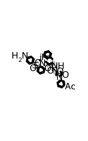 CC(=O)c1cccc(N2C[C@@H](C(=O)N[C@@H](Cc3ccccc3)[C@H](O)CN(CC(C)C)c3ccccc3S(=O)(=O)c3ccc(N)cc3)OC2=O)c1